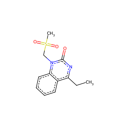 CCc1nc(=O)n(CS(C)(=O)=O)c2ccccc12